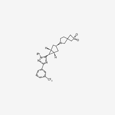 CC(C)n1nc(-c2cccc(C(F)(F)F)c2)nc1[C@H]1[C@@H]2C[C@@H](N3CCC4(C3)CS(=O)(=O)C4)C[C@@H]21